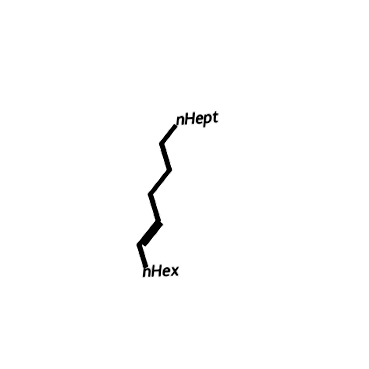 [CH2]CCCCC/C=C/CCCCCCCCCC